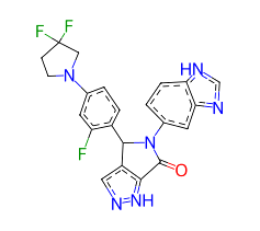 O=C1c2[nH]ncc2C(c2ccc(N3CCC(F)(F)C3)cc2F)N1c1ccc2[nH]cnc2c1